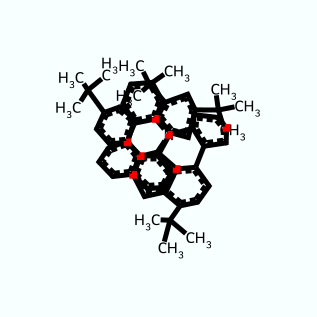 CC(C)(C)c1ccc(-c2ccccc2N(c2ccccc2-c2ccc(C(C)(C)C)cc2)c2ccccc2-c2cccc3cccc(-c4cc(C(C)(C)C)cc(C(C)(C)C)c4)c23)cc1